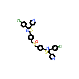 [O-][S+](Cc1ccc(-c2nc(-c3ccc(Cl)cc3)c(-c3ccncc3)s2)cc1)Cc1ccc(-c2nc(-c3ccc(Cl)cc3)c(-c3ccncc3)s2)cc1